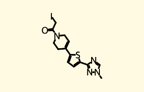 Cn1cnc(-c2ccc(C3=CCN(C(=O)CI)CC3)s2)n1